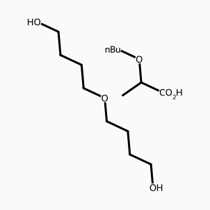 CCCCOC(C)C(=O)O.OCCCCOCCCCO